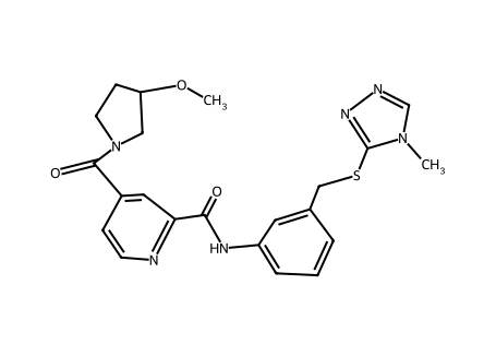 COC1CCN(C(=O)c2ccnc(C(=O)Nc3cccc(CSc4nncn4C)c3)c2)C1